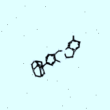 Nc1ccc2c(c1)N(Cc1ccc(C34CC5CC(CC(C5)C3)C4)cc1Cl)CC2